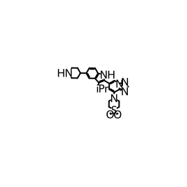 CC(C)c1c(-c2cc(N3CCS(=O)(=O)CC3)c3ncnn3c2)[nH]c2ccc(C3CCNCC3)cc12